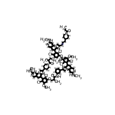 C=CC(=O)N1CCC(C/C=C/c2cn3c(n2)c(-c2c(Cl)c(OC)cc(OCC(=C)C(=O)N4CCC(c5cn6c(n5)c(-c5c(Cl)c(OC)cc(OCC(=C)C(=O)Nc7cccc(-c8cn9c(n8)c(-c8c(Cl)c(OC)cc(OC)c8Cl)cc8cnc(NC)cc89)c7)c5Cl)cc5cnc(NC)nc56)CC4)c2Cl)cc2cnc(NC)cc23)CC1